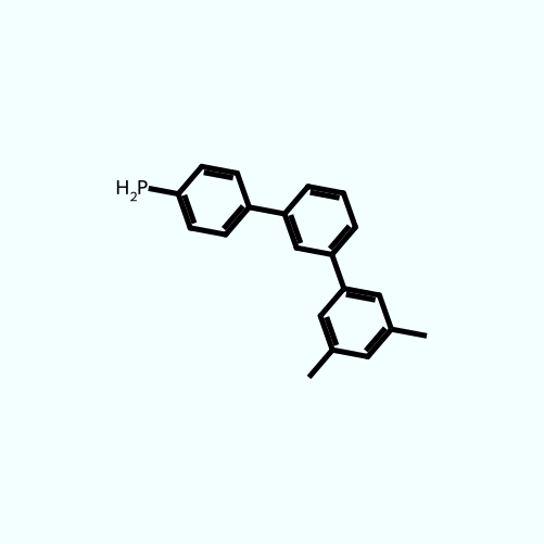 Cc1cc(C)cc(-c2cccc(-c3ccc(P)cc3)c2)c1